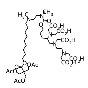 CC(=O)OCC(COC(C)=O)(COC(C)=O)C(=O)OCCCCCCCCCN(C)CCN(C)C(=O)OCCCC(CN(CCN(CC(=O)O)CC(=O)O)CC(=O)O)N(CC(=O)O)CC(=O)O